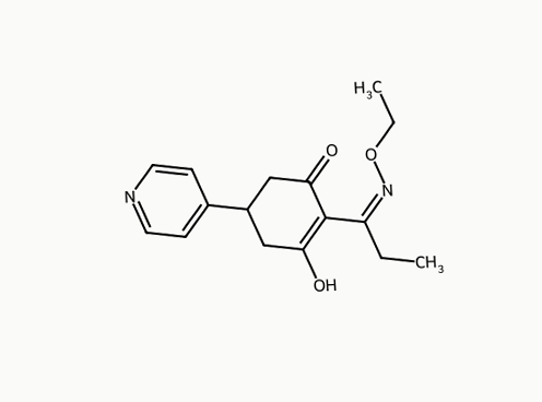 CCO/N=C(/CC)C1=C(O)CC(c2ccncc2)CC1=O